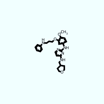 COc1ccc(Nc2nccc(NCC3CCOCC3)n2)cc1OCCCNc1ccccc1